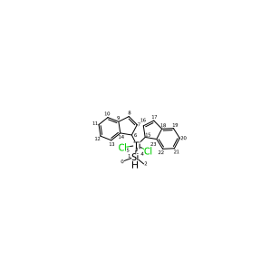 C[SiH](C)[Ti]([Cl])([Cl])([CH]1C=Cc2ccccc21)[CH]1C=Cc2ccccc21